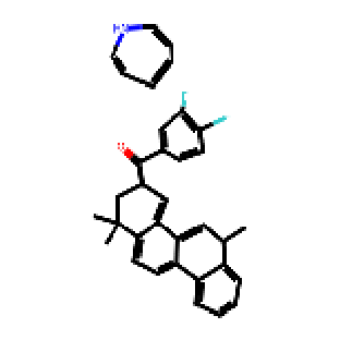 C1=CC=CNC=C1.CC1C=c2c(ccc3c2=CC(C(=O)c2ccc(F)c(F)c2)CC3(C)C)-c2ccccc21